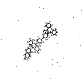 c1ccc(-c2nc3cc(-c4ccc(-c5c6ccccc6c(-c6ccc7ccccc7c6)c6ccccc56)cc4)ccc3n2-c2ccccc2)cc1